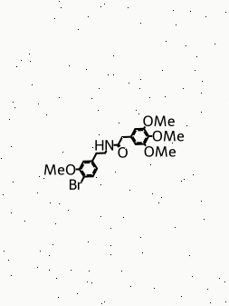 COc1cc(CCNC(=O)Cc2cc(OC)c(OC)c(OC)c2)ccc1Br